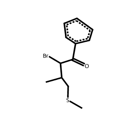 CSCC(C)C(Br)C(=O)c1ccccc1